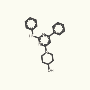 OC1CCN(c2cc(-c3ccccc3)nc(Nc3ccccc3)n2)CC1